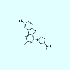 CNC1CCN(c2nc(C)nc3c2oc2ccc(Cl)cc23)C1